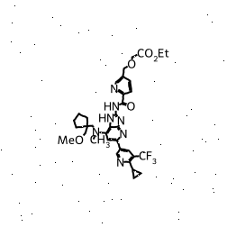 CCOC(=O)COCc1ccc(C(=O)Nc2nc3nc(-c4cnc(C5CC5)c(C(F)(F)F)c4)cc(N(C)CC4(COC)CCCC4)c3[nH]2)nc1